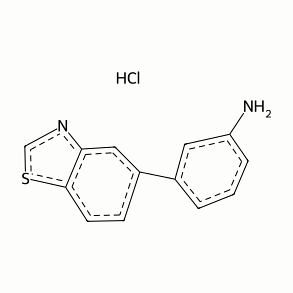 Cl.Nc1cccc(-c2ccc3scnc3c2)c1